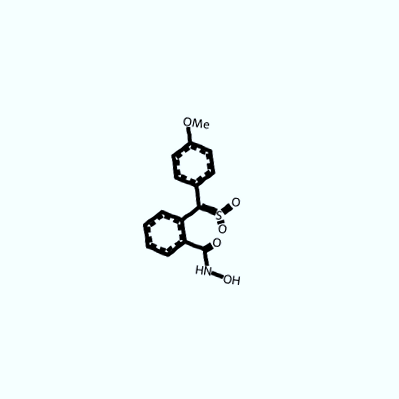 COc1ccc(C(c2ccccc2C(=O)NO)=S(=O)=O)cc1